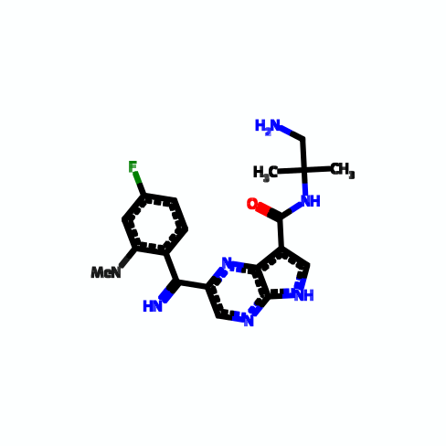 CNc1cc(F)ccc1C(=N)c1cnc2[nH]cc(C(=O)NC(C)(C)CN)c2n1